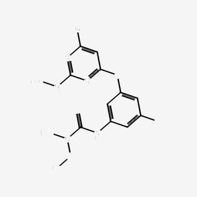 CCCCNc1nc(Br)cc(Sc2cc(NC(=S)N(C)OCC)cc(C(F)(F)F)c2)n1